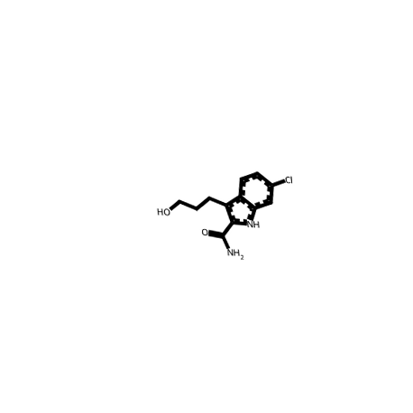 NC(=O)c1[nH]c2cc(Cl)ccc2c1C[CH]CO